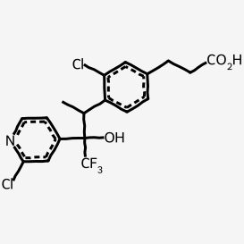 CC(c1ccc(CCC(=O)O)cc1Cl)C(O)(c1ccnc(Cl)c1)C(F)(F)F